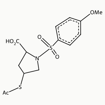 COc1ccc(S(=O)(=O)N2CC(SC(C)=O)CC2C(=O)O)cc1